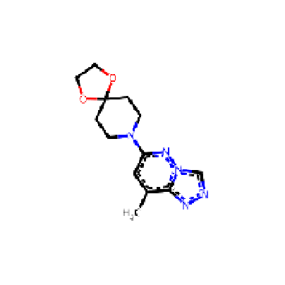 Cc1cc(N2CCC3(CC2)OCCO3)nn2cnnc12